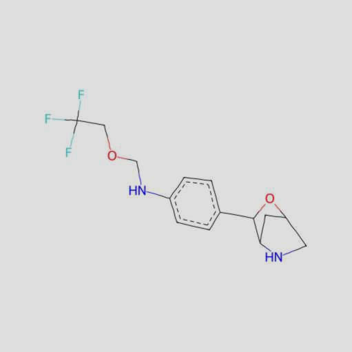 FC(F)(F)COCNc1ccc(C2OC3CNC2C3)cc1